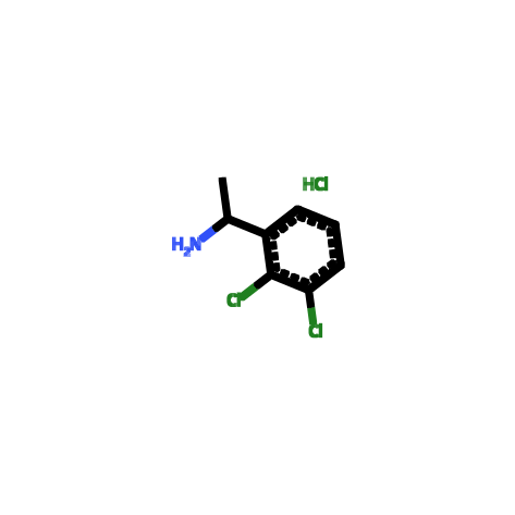 CC(N)c1cccc(Cl)c1Cl.Cl